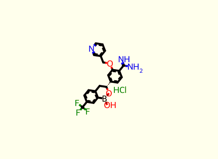 Cl.N=C(N)c1ccc([C@H]2Cc3ccc(C(F)(F)F)cc3B(O)O2)cc1OCc1cccnc1